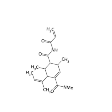 C=CC(=O)NC(=O)C1C(C)C=C(C(=O)NC)C(/C(C)=C\C)C1C